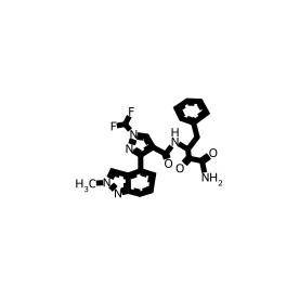 Cn1cc2c(-c3nn(C(F)F)cc3C(=O)NC(Cc3ccccc3)C(=O)C(N)=O)cccc2n1